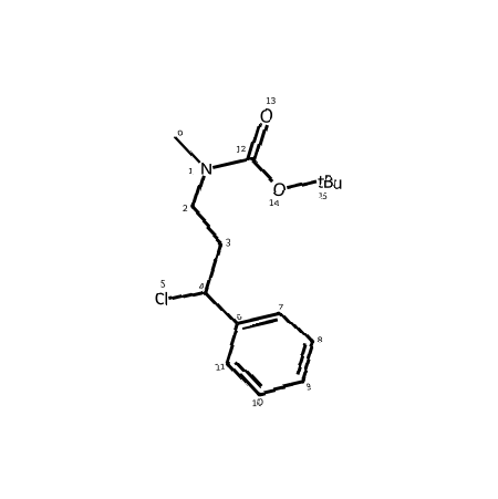 CN(CCC(Cl)c1ccccc1)C(=O)OC(C)(C)C